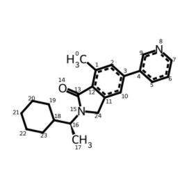 Cc1cc(-c2cccnc2)cc2c1C(=O)N([C@@H](C)C1CCCCC1)C2